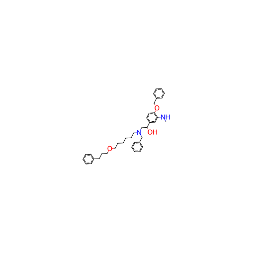 CNc1cc(C(O)CN(CCCCCCOCCCc2ccccc2)Cc2ccccc2)ccc1OCc1ccccc1